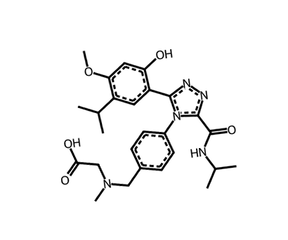 COc1cc(O)c(-c2nnc(C(=O)NC(C)C)n2-c2ccc(CN(C)CC(=O)O)cc2)cc1C(C)C